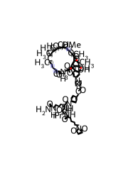 CO[C@H]1/C=C/O[C@@]2(C)Oc3c(C)c(O)c4c(=O)c(c5oc6cc(N7CCN(C(=O)OCc8ccc(NC(=O)[C@H](CCCNC(N)=O)NC(=O)[C@@H](NC(=O)CCCCCN9C(=O)C=CC9=O)C(C)C)cc8)CC7)cc(O)c6nc-5c4c3C2=O)NC(=O)/C(C)=C\C=C\[C@H](C)C[C@@H](C)C[C@@H](C)[C@H](O)[C@@H]1C